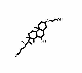 CC1C2C(O)CC3CC(OCCO)CCC3(C)C2CCC1(C)C(C)[C@H](C)CCC=O